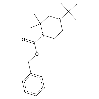 CC(C)(C)N1CCN(C(=O)OCc2ccccc2)C(C)(C)C1